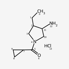 CCC1CN(C(=O)C2CC2)CC1N.Cl